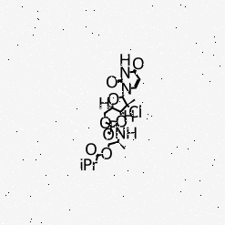 CC(C)C(=O)OC[C@H](C)N[P@@]1(=O)OC[C@H]2O[C@@H](n3ccc(=O)[nH]c3=O)[C@](C)(Cl)[C@@H]2O1